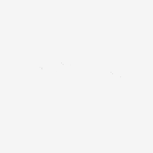 CC(=O)N(Cl)c1cccc(-c2cc(-c3ncccc3C)no2)c1